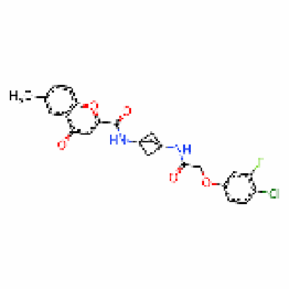 Cc1ccc2oc(C(=O)NC34CC(NC(=O)COc5ccc(Cl)c(F)c5)(C3)C4)cc(=O)c2c1